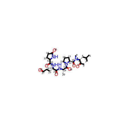 CC(=O)[C@@H](CC(C)C)N(C)C(=O)[C@@H]1CCCN1C(=O)[C@H](C)NC(=O)[C@H](CCC=O)NC(=O)C1CCC(=O)N1